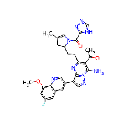 COc1cc(F)cc2cc(-c3cnn4c(N)c(C(C)=O)c(CCC5CC(C)=CN5C(=O)c5nnc[nH]5)nc34)cnc12